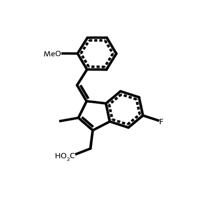 COc1ccccc1/C=C1/C(C)=C(CC(=O)O)c2cc(F)ccc21